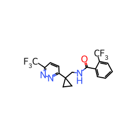 O=C(NCC1(c2ccc(C(F)(F)F)nn2)CC1)c1ccccc1C(F)(F)F